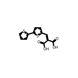 O=C(O)C(=Cc1ccc(-c2cccs2)s1)C(=O)O